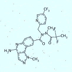 CN(C(=O)C(C)(F)F)N(Cc1ccc(C(F)(F)F)cn1)C(=O)c1ccc2nc(N)c3cnn(C)c3c2c1